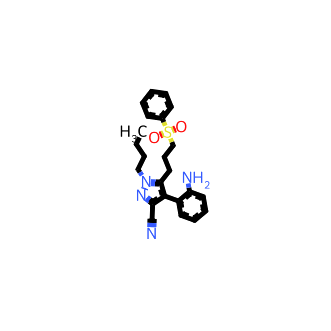 CCCCn1nc(C#N)c(-c2ccccc2N)c1CCCS(=O)(=O)c1ccccc1